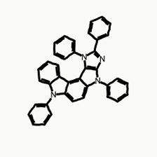 c1ccc(-c2nc3c(c4c5c6ccccc6n(-c6ccccc6)c5ccc4n3-c3ccccc3)n2-c2ccccc2)cc1